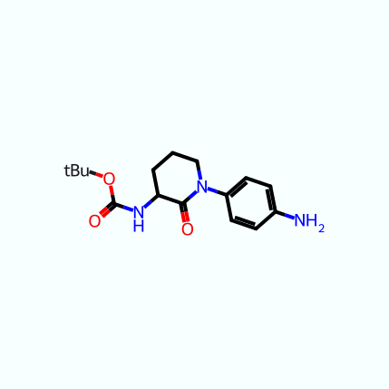 CC(C)(C)OC(=O)NC1CCCN(c2ccc(N)cc2)C1=O